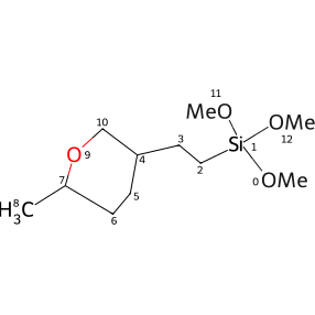 CO[Si](CCC1CCC(C)OC1)(OC)OC